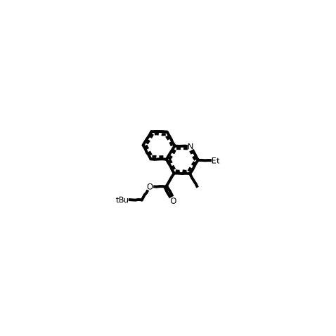 CCc1nc2ccccc2c(C(=O)OCC(C)(C)C)c1C